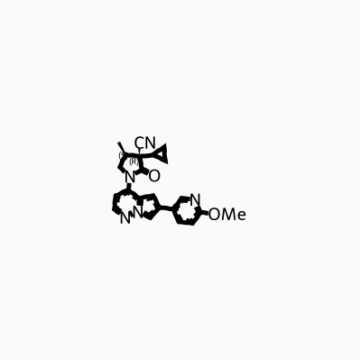 COc1ccc(-c2cc3c(N4C[C@@H](C)[C@@](C#N)(C5CC5)C4=O)ccnn3c2)cn1